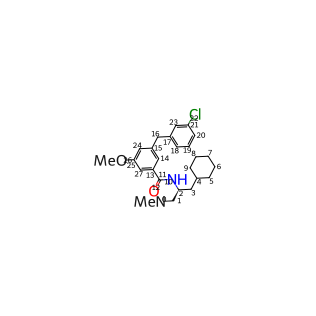 CNC[C@H](CC1CCCCC1)NC(=O)c1cc(Cc2cccc(Cl)c2)cc(OC)c1